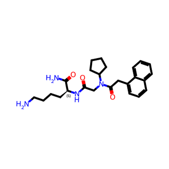 NCCCC[C@H](NC(=O)CN(C(=O)Cc1cccc2ccccc12)C1CCCC1)C(N)=O